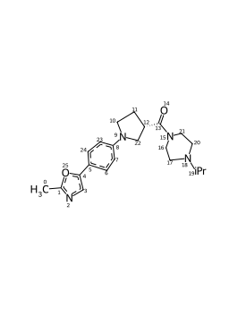 Cc1ncc(-c2ccc(N3CC[C@H](C(=O)N4CCN(C(C)C)CC4)C3)cc2)o1